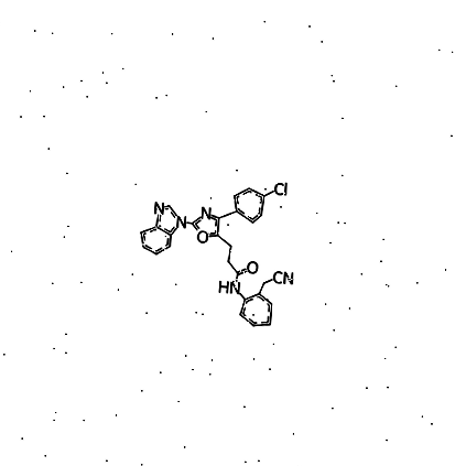 N#CCc1ccccc1NC(=O)CCc1oc(-n2cnc3ccccc32)nc1-c1ccc(Cl)cc1